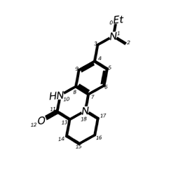 CCN(C)Cc1ccc2c(c1)NC(=O)C1CCCCN21